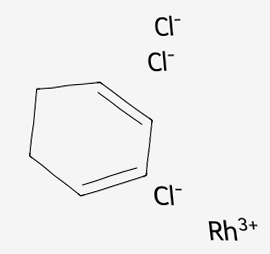 C1=CCCC=C1.[Cl-].[Cl-].[Cl-].[Rh+3]